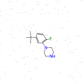 CC(C)(C)c1ccc(F)c(N2CCNCC2)c1